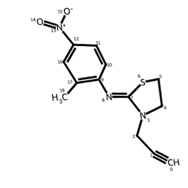 C#CCN1CCSC1=Nc1ccc([N+](=O)[O-])cc1C